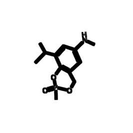 CNc1cc2c(c(C(C)C)c1)OP(C)(=O)OC2